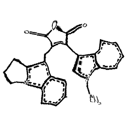 Cn1cc(C2=C(c3c4n(c5ccccc35)CCC4)C(=O)OC2=O)c2ccccc21